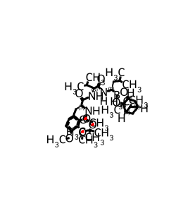 COc1ccc(C[C@H](NC(=O)OC(C)(C)C)C(=O)N[C@H](C(=O)N[C@@H](CC(C)C)B2O[C@@H]3C[C@@H]4C[C@@H](C4(C)C)[C@]3(C)O2)C(C)C)c(OC)c1OC